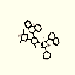 CC1=CC(C2=CC(C)C(C3=NC(C4C=CCCC4)NC(C4=C5C=CCCC5CCC4)N3)C=C2C2=Cc3ccccc3C3(C)CCCCC23)=CC(C)N1